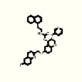 O=C(NCCc1cccc2ccccc12)O[C@@H]1c2cc(OCc3ccc4cc(F)ccc4n3)ccc2OC[C@H]1Oc1cccnc1